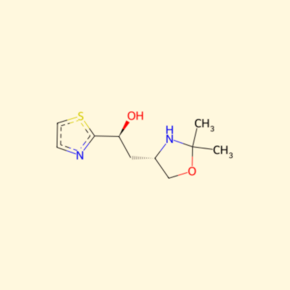 CC1(C)N[C@@H](C[C@H](O)c2nccs2)CO1